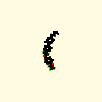 CCCC1CCC(c2ccc(C(F)(F)Oc3ccc(OC(F)(F)F)cc3)cc2)CC1